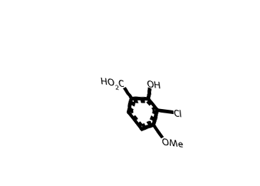 COc1ccc(C(=O)O)c(O)c1Cl